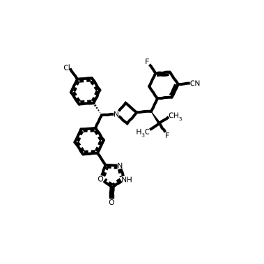 CC(C)(F)[C@H](C1C=C(C#N)C=C(F)C1)C1CN([C@@H](c2ccc(Cl)cc2)c2cccc(-c3n[nH]c(=O)o3)c2)C1